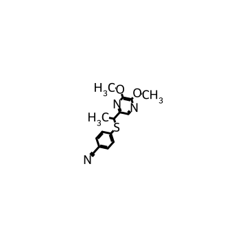 COc1ncc(C(C)Sc2ccc(C#N)cc2)nc1OC